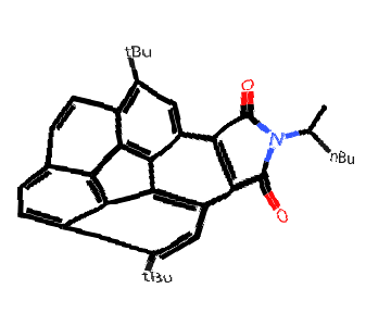 CCCCC(C)n1c(=O)c2c3cc(C(C)(C)C)c4ccc5ccc6c(C(C)(C)C)cc(c2c1=O)c1c6c5c4c31